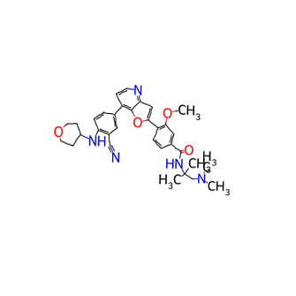 COc1cc(C(=O)NC(C)(C)CN(C)C)ccc1-c1cc2nccc(-c3ccc(NC4CCOCC4)c(C#N)c3)c2o1